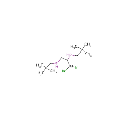 CC(C)(C)CPC[CH](PCC(C)(C)C)[Ru]([Br])[Br]